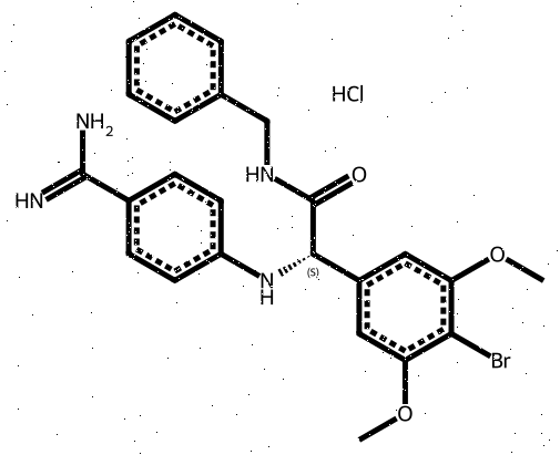 COc1cc([C@H](Nc2ccc(C(=N)N)cc2)C(=O)NCc2ccccc2)cc(OC)c1Br.Cl